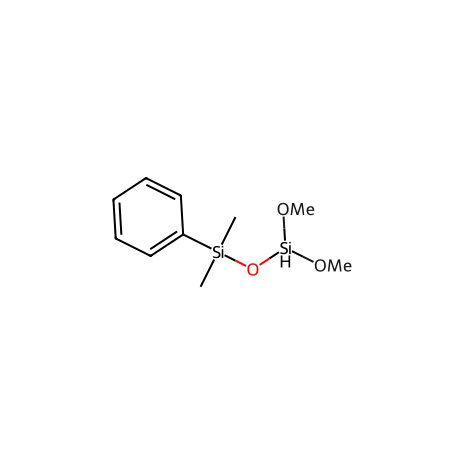 CO[SiH](OC)O[Si](C)(C)c1ccccc1